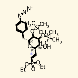 CCOP(=O)(/C=C/[C@H]1O[C@H](Cc2ccc(N=[N+]=[N-])cc2)C(O[Si](C)(C)C)C(O[Si](C)(C)C)[C@@H]1O)OCC